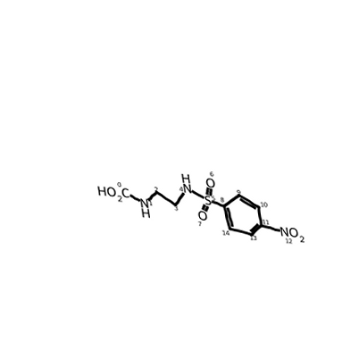 O=C(O)NCCNS(=O)(=O)c1ccc([N+](=O)[O-])cc1